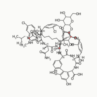 CN[C@H](CC(C)C)C(=O)N[C@H]1C(=O)N[C@@H](CC(N)=O)C(=O)N[C@H]2C(=O)N[C@H]3C(=O)N[C@H](C(=O)NC(C(=O)O)c4cc(O)cc(O)c4-c4cc3ccc4O)[C@H](O)c3ccc(c(Cl)c3)Oc3cc2cc(c3OC2OC(CO)C(O)C(O)C2OC2CC(C)(NCCCCNc3ccnc4cc(Cl)ccc34)C(O)C(C)O2)Oc2ccc(cc2Cl)[C@H]1O